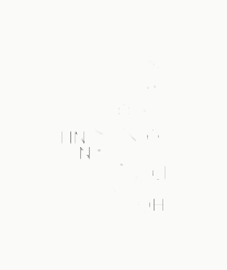 Cc1[nH]nc(-c2ccc(O)c(Cl)c2)c1C1=COC=C(C2=CC=CCC2)O1